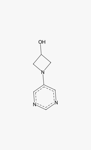 OC1CN(c2cncnc2)C1